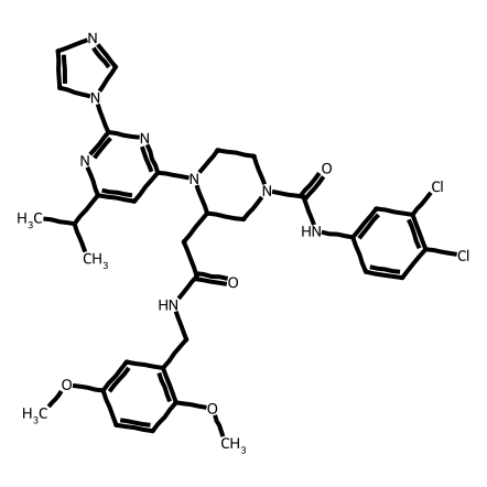 COc1ccc(OC)c(CNC(=O)CC2CN(C(=O)Nc3ccc(Cl)c(Cl)c3)CCN2c2cc(C(C)C)nc(-n3ccnc3)n2)c1